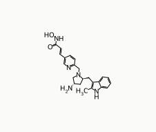 Cc1[nH]c2ccccc2c1C[C@H]1C[C@H](N)CN1Cc1ccc(C=CC(=O)NO)cn1